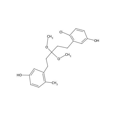 COC(CCc1cc(O)ccc1C)(CCc1cc(O)ccc1Cl)OC